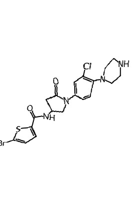 O=C(NC1CC(=O)N(c2ccc(N3CCNCC3)c(Cl)c2)C1)c1ccc(Br)s1